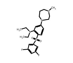 CCN(CC)c1cc(N2CCCN(C)CC2)ccc1S(=O)(=O)c1cc(F)cc(F)c1